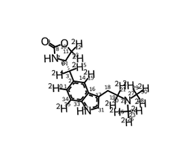 [2H]c1c(C([2H])([2H])[C@@H]2NC(=O)OC2([2H])[2H])c([2H])c2c(CC([2H])([2H])N(C([2H])([2H])[2H])C([2H])([2H])[2H])c[nH]c2c1[2H]